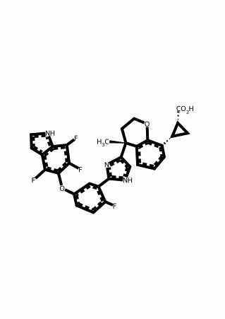 C[C@@]1(c2c[nH]c(-c3cc(Oc4c(F)c(F)c5[nH]ccc5c4F)ccc3F)n2)CCOc2c([C@H]3C[C@H]3C(=O)O)cccc21